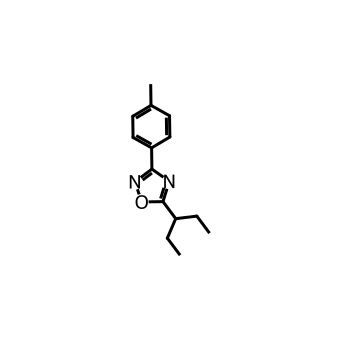 CCC(CC)c1nc(-c2ccc(C)cc2)no1